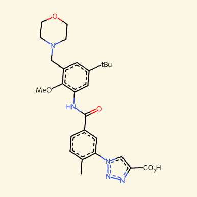 COc1c(CN2CCOCC2)cc(C(C)(C)C)cc1NC(=O)c1ccc(C)c(-n2cc(C(=O)O)nn2)c1